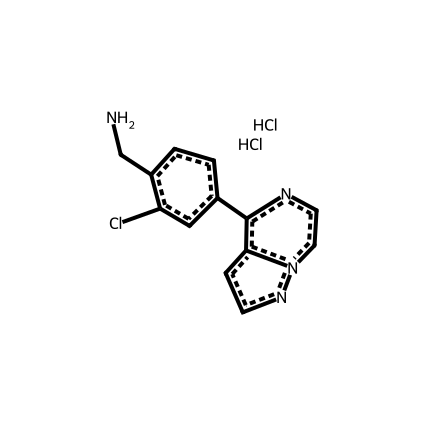 Cl.Cl.NCc1ccc(-c2nccn3nccc23)cc1Cl